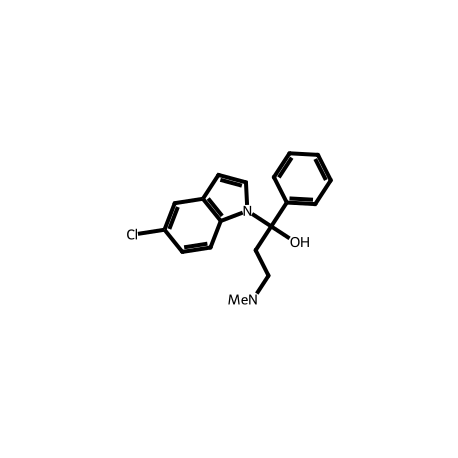 CNCCC(O)(c1ccccc1)n1ccc2cc(Cl)ccc21